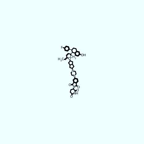 C=C(/C=C\C(=C/C)OC1CC2CC(N3CCN(c4ccc5c(c4)C(=O)N(C4CCC(=O)NC4=O)C5=O)CC3)CC2C1)[C@@H]1c2ccc(O)cc2CC[C@@H]1c1ccc(F)cc1